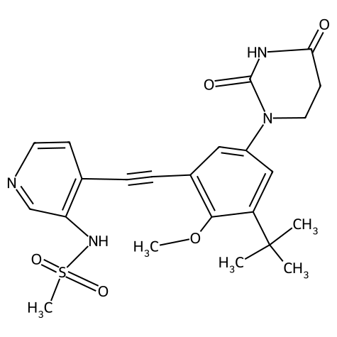 COc1c(C#Cc2ccncc2NS(C)(=O)=O)cc(N2CCC(=O)NC2=O)cc1C(C)(C)C